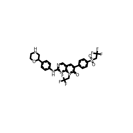 O=c1c(-c2ccc(S(=O)(=O)CC(F)(F)F)cc2)cc2cnc(Nc3ccc(C4CNCCO4)cc3)nc2n1CC(F)(F)F